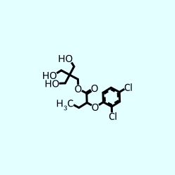 CCC(Oc1ccc(Cl)cc1Cl)C(=O)OCC(CO)(CO)CO